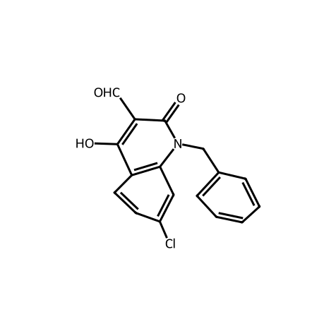 O=Cc1c(O)c2ccc(Cl)cc2n(Cc2ccccc2)c1=O